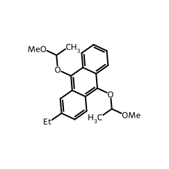 CCc1ccc2c(OC(C)OC)c3ccccc3c(OC(C)OC)c2c1